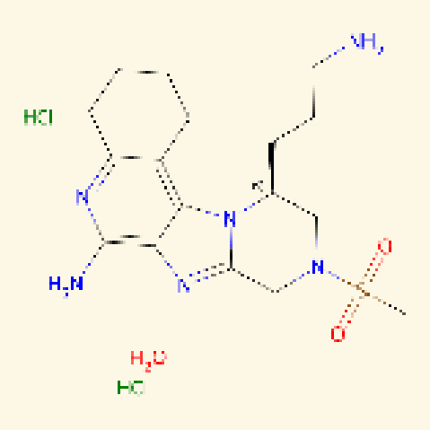 CS(=O)(=O)N1Cc2nc3c(N)nc4c(c3n2[C@@H](CCCN)C1)CCCC4.Cl.Cl.O